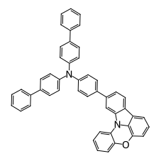 c1ccc(-c2ccc(N(c3ccc(-c4ccccc4)cc3)c3ccc(-c4ccc5c6cccc7c6n(c5c4)-c4ccccc4O7)cc3)cc2)cc1